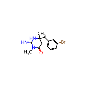 CN1C(=N)N[C@](C)(Cc2cccc(Br)c2)CC1=O